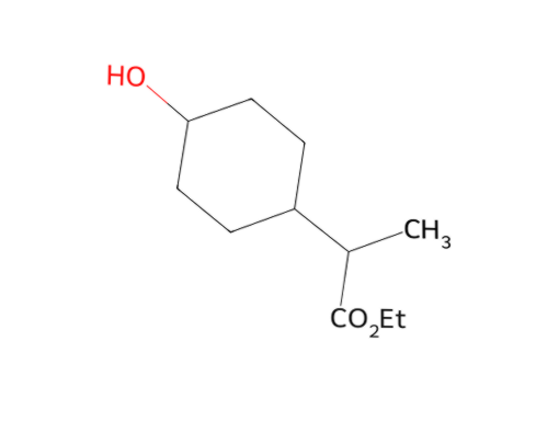 CCOC(=O)C(C)C1CCC(O)CC1